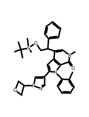 Cc1ccccc1-n1c(-c2cnn(C3COC3)c2)cc2c(C(CO[Si](C)(C)C(C)(C)C)c3ccccc3)cn(C)c(=O)c21